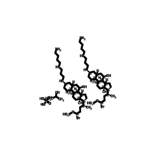 CC(C)[C@@H](CC[C@@H](C)[C@H]1CC[C@H]2[C@@H]3[C@H](O)C[C@H]4C[C@@H](NCCCNCCCCN)CC[C@]4(C)[C@H]3CC[C@]12C)OS(=O)(=O)O.CC(C)[C@@H](CC[C@@H](C)[C@H]1CC[C@H]2[C@@H]3[C@H](O)C[C@H]4C[C@@H](NCCCNCCCCN)CC[C@]4(C)[C@H]3CC[C@]12C)OS(=O)(=O)O.CC(O)C(=O)O.O=P(O)(O)O